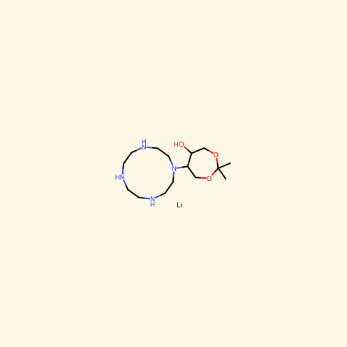 CC1(C)OCC(O)C(N2CCNCCNCCNCC2)CO1.[Li]